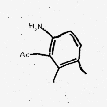 CC(=O)c1c(N)ccc(C)c1C